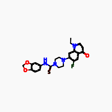 CCn1ccc(=O)c2cc(F)c(N3CCN(C(=S)Nc4ccc5c(c4)OCO5)CC3)cc21